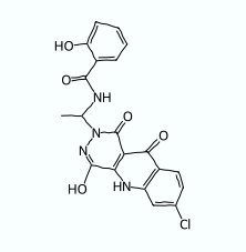 CC(NC(=O)c1ccccc1O)n1nc(O)c2[nH]c3cc(Cl)ccc3c(=O)c2c1=O